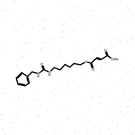 COC(=O)/C=C/C(=O)OCCCCCCNC(=O)NCc1ccccc1